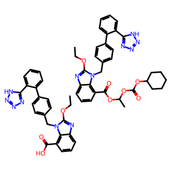 CCOc1nc2cccc(C(=O)O)c2n1Cc1ccc(-c2ccccc2-c2nnn[nH]2)cc1.CCOc1nc2cccc(C(=O)OC(C)OC(=O)OC3CCCCC3)c2n1Cc1ccc(-c2ccccc2-c2nnn[nH]2)cc1